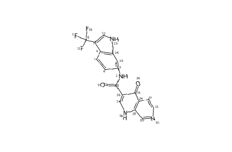 O=C(Nc1ccc2c(C(F)(F)F)c[nH]c2c1)c1c[nH]c2cnccc2c1=O